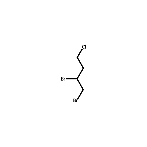 ClCCC(Br)CBr